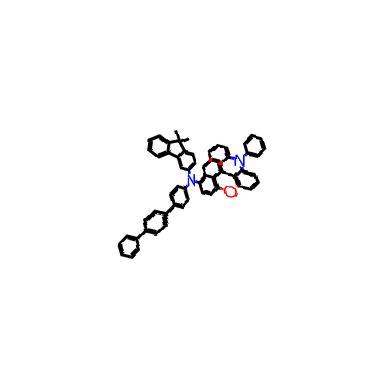 CC1(C)c2ccccc2-c2cc(N(c3ccc(-c4ccc(-c5ccccc5)cc4)cc3)c3ccc4c5c(cccc35)-c3c(cccc3N(c3ccccc3)c3ccccc3)O4)ccc21